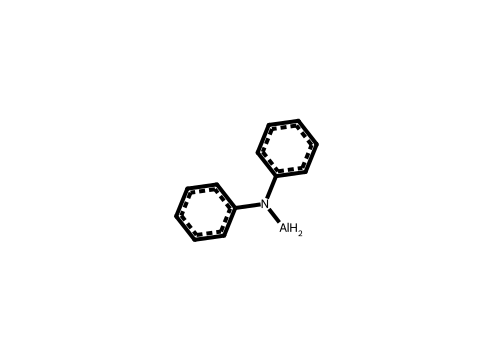 [AlH2][N](c1ccccc1)c1ccccc1